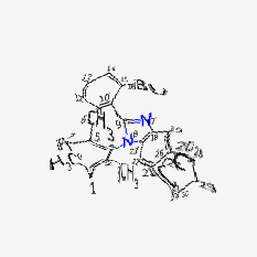 C/C=C(C)\C(=C(\C)C(C)C)n1c(-c2ccccc2C(C)CC)nc2cc3c(cc21)C1CCCC3CC1